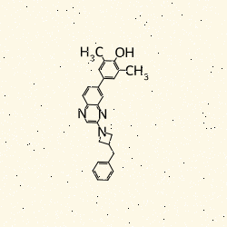 Cc1cc(-c2ccc3ncc(N4CC(Cc5ccccc5)C4)nc3c2)cc(C)c1O